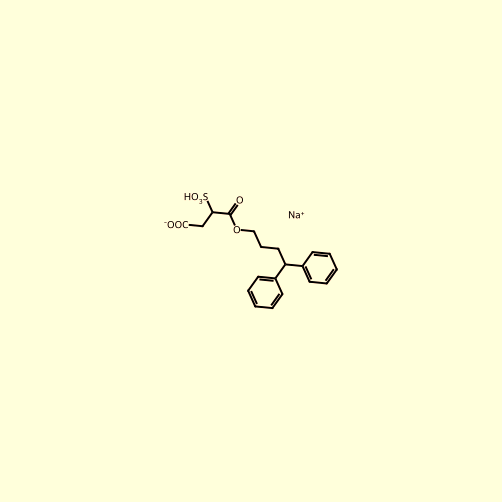 O=C([O-])CC(C(=O)OCCCC(c1ccccc1)c1ccccc1)S(=O)(=O)O.[Na+]